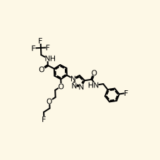 O=C(NCC(F)(F)F)c1ccc(-n2cc(C(=O)NCc3cccc(F)c3)nn2)c(OCCOCCF)c1